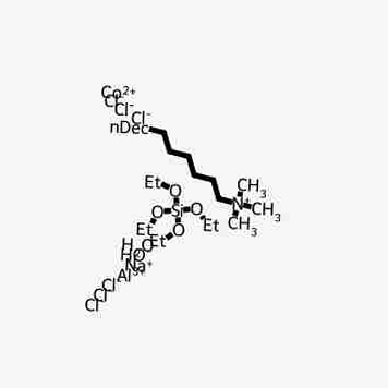 CCCCCCCCCCCCCCCC[N+](C)(C)C.CCO[Si](OCC)(OCC)OCC.O.[Al+3].[Cl-].[Cl-].[Cl-].[Cl-].[Cl-].[Cl-].[Co+2].[Na+].[OH-]